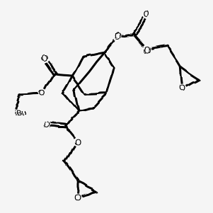 CCC(C)COC(=O)C12CC3CC(OC(=O)OCC4CO4)(C1)CC(C(=O)OCC1CO1)(C3)C2